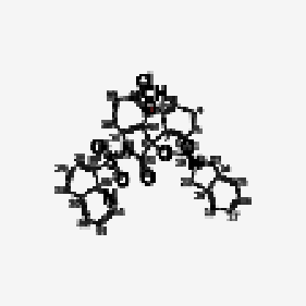 COc1ccccc1C1(OC(=O)N2Cc3ccccc3C2)C(=O)N(S(=O)(=O)c2cccc3cccnc23)c2ccc(Cl)cc21